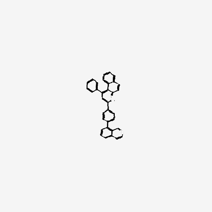 c1ccc(-c2cc(-c3ccc(-c4cccc5ccncc45)cc3)nc3ccc4ccccc4c23)cc1